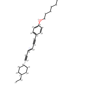 CCCCCCCOc1ccc(C#C/C=C/C#C[C@H]2CC[C@H](CC)CC2)cc1